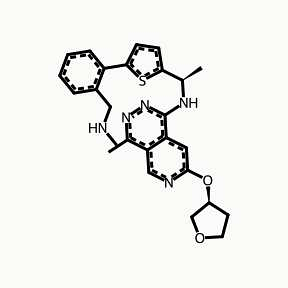 CNCc1ccccc1-c1ccc([C@@H](C)Nc2nnc(C)c3cnc(O[C@H]4CCOC4)cc23)s1